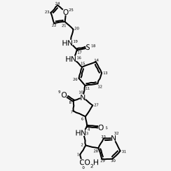 O=C(O)CC(NC(=O)C1CC(=O)N(c2cccc(NC(=S)NCc3ccco3)c2)C1)c1cccnc1